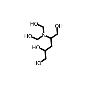 OCC(O)CC(CO)N(CO)CO